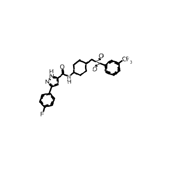 O=C(NC1CCC(CS(=O)(=O)c2cccc(C(F)(F)F)c2)CC1)c1cc(-c2ccc(F)cc2)n[nH]1